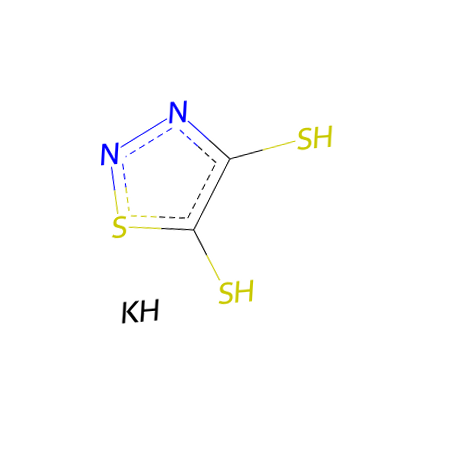 Sc1nnsc1S.[KH]